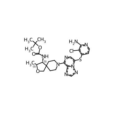 C[C@@H]1OCC2(CCN(c3ncc(Sc4ccnc(N)c4Cl)n4ncnc34)CC2)[C@@H]1NC(=O)OC(C)(C)C